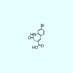 O=C1CC(C(=O)O)=Cc2ccc(Br)cc2N1